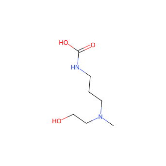 CN(CCO)CCCNC(=O)O